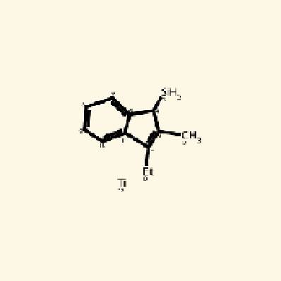 CCC1=C(C)C([SiH3])c2ccccc21.[Ti]